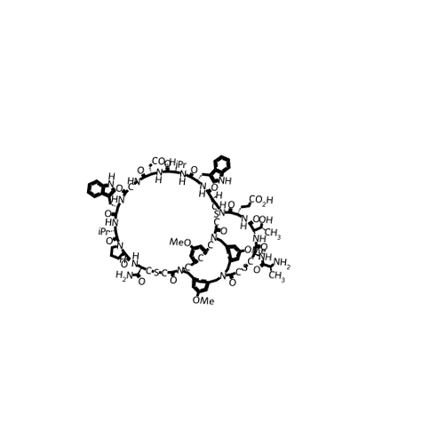 COc1cc2cc(c1)CN1Cc3cc(cc(OC)c3)CN3Cc4cc(cc(OC)c4)CN(C2)C(=O)CSC[C@@H](C(N)=O)NC(=O)[C@@H]2CCCN2C(=O)[C@H](C(C)C)NC(=O)[C@H](Cc2c[nH]c4ccccc24)NC(=O)CNC(=O)[C@H](CC(=O)O)NC(=O)[C@H](C(C)C)NC(=O)[C@H](Cc2c[nH]c4ccccc24)NC(=O)[C@H](CSCC3=O)NC(=O)[C@H](CCC(=O)O)NC(=O)[C@H]([C@@H](C)O)NC(=O)[C@@H](NC(=O)[C@H](C)N)CSCC1=O